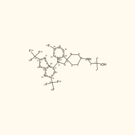 CC(C)(O)CNC1CCC(CNc2cc(C(F)(F)F)nc3cc(C(F)(F)F)nn23)(c2ccc(F)cc2)CC1